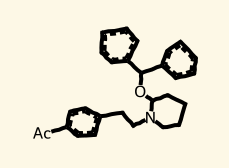 CC(=O)c1ccc(CCN2CCCCC2OC(c2ccccc2)c2ccccc2)cc1